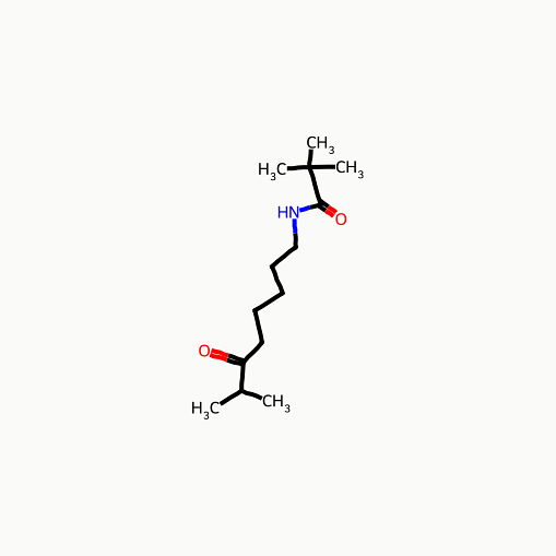 CC(C)C(=O)CCCCCNC(=O)C(C)(C)C